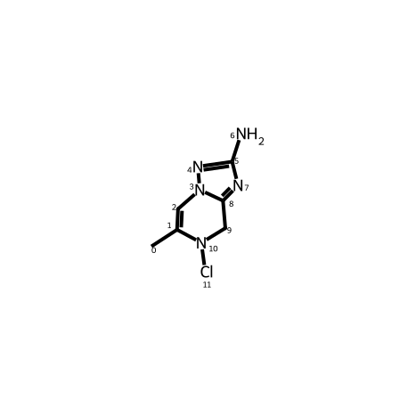 CC1=Cn2nc(N)nc2CN1Cl